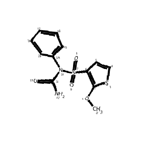 COc1sccc1S(=O)(=O)N(C(N)=O)c1ccccc1